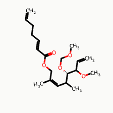 C=CCC/C=C/C(=O)OC/C(C)=C\C(C)[C@H](OCOC)C(C=C)OC